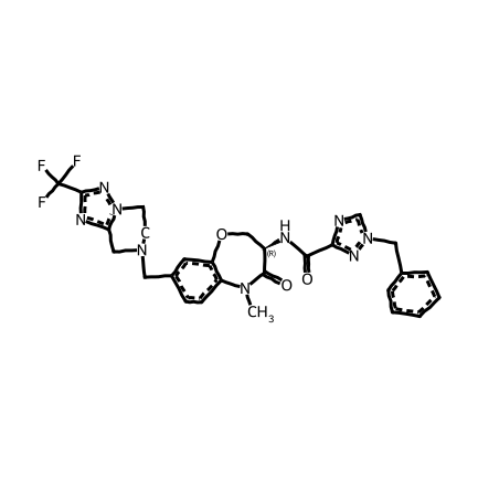 CN1C(=O)[C@H](NC(=O)c2ncn(Cc3ccccc3)n2)COc2cc(CN3CCn4nc(C(F)(F)F)nc4C3)ccc21